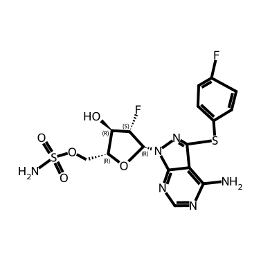 Nc1ncnc2c1c(Sc1ccc(F)cc1)nn2[C@@H]1O[C@H](COS(N)(=O)=O)[C@@H](O)[C@@H]1F